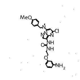 COc1ccc(CN(C)c2cc(Cl)nc3c(NC(=O)NCCOc4cccc(N)c4)cnn23)cc1